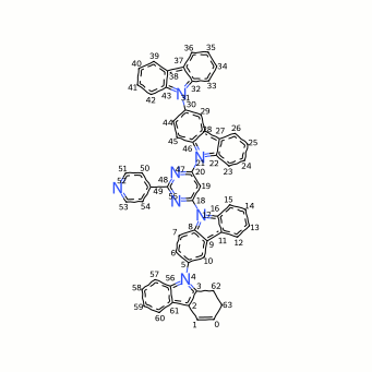 C1=Cc2c(n(-c3ccc4c(c3)c3ccccc3n4-c3cc(-n4c5ccccc5c5cc(-n6c7ccccc7c7ccccc76)ccc54)nc(-c4ccncc4)n3)c3ccccc23)CC1